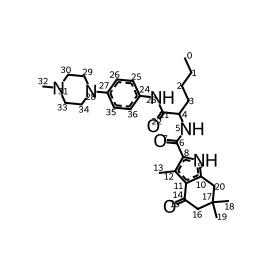 CCCCC(NC(=O)c1[nH]c2c(c1C)C(=O)CC(C)(C)C2)C(=O)Nc1ccc(N2CCN(C)CC2)cc1